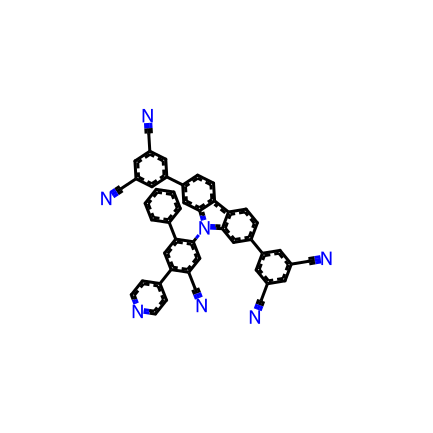 N#Cc1cc(C#N)cc(-c2ccc3c4ccc(-c5cc(C#N)cc(C#N)c5)cc4n(-c4cc(C#N)c(-c5ccncc5)cc4-c4ccccc4)c3c2)c1